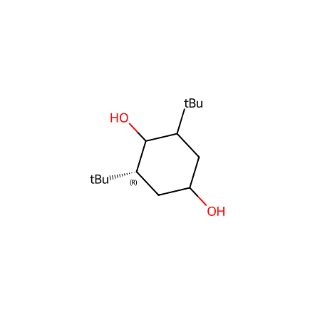 CC(C)(C)C1CC(O)C[C@H](C(C)(C)C)C1O